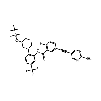 CC(C)(C)[Si](C)(C)OC1CCCN(c2ccc(C(F)(F)F)cc2NC(=O)c2cc(C#Cc3cnc(N)nc3)ccc2F)C1